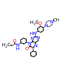 C=CC(=O)Nc1cccc(-n2c(=O)c(-c3ccccc3)nc3cnc(Nc4ccc(N5CCN(C)CC5)c(OC)c4)nc32)c1